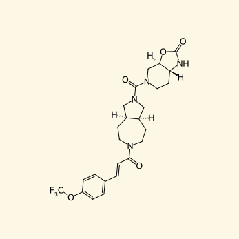 O=C1N[C@@H]2CCN(C(=O)N3C[C@H]4CCN(C(=O)/C=C/c5ccc(OC(F)(F)F)cc5)CC[C@H]4C3)C[C@H]2O1